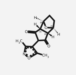 Cc1noc(C)c1C1C(=O)[C@@H]2[C@H](C1=O)[C@H]1CC[C@@H]2O1